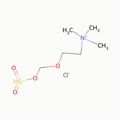 C[N+](C)(C)CCOCO[SH](=O)=O.[Cl-]